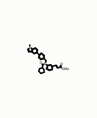 COC(=O)/C=C/c1cccc(N(Cc2ccc(-c3ccc4c(ccn4C)c3)cc2)C(=O)C2CCCCC2)c1